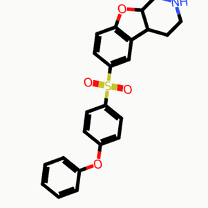 O=S(=O)(c1ccc(Oc2ccccc2)cc1)c1ccc2c(c1)C1CCNCC1O2